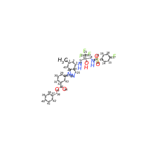 Cc1cc(NCC(O)(CNS(=O)(=O)c2ccc(F)cc2)C(F)(F)F)c2cnn(-c3cccc(C(=O)OCc4ccccc4)c3)c2c1